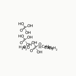 O.O.O=P(O)(O)O.O=P(O)(O)O.O=P(O)(O)O.[CaH2].[CaH2].[CaH2]